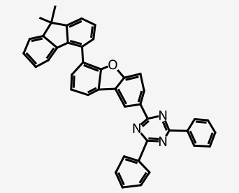 CC1(C)c2ccccc2-c2c(-c3cccc4c3oc3ccc(-c5nc(-c6ccccc6)nc(-c6ccccc6)n5)cc34)cccc21